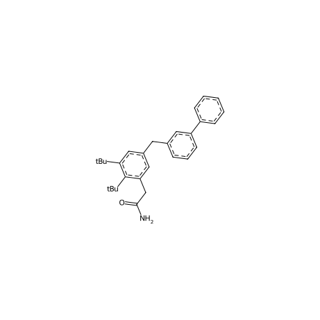 CC(C)(C)c1cc(Cc2cccc(-c3ccccc3)c2)cc(CC(N)=O)c1C(C)(C)C